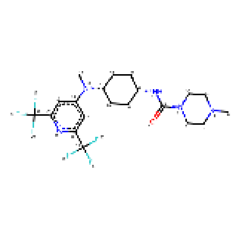 CN1CCN(C(=O)N[C@H]2CC[C@@H](N(C)c3cc(C(F)(F)F)nc(C(F)(F)F)c3)CC2)CC1